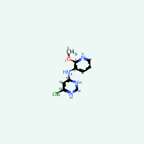 COc1ncccc1Nc1cc(Cl)ncn1